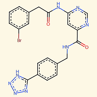 O=C(Cc1cccc(Br)c1)Nc1cc(C(=O)NCc2ccc(-c3nnn[nH]3)cc2)ncn1